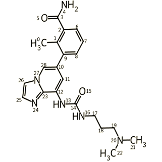 Cc1c(C(N)=O)cccc1-c1cc(NC(=O)NCCCN(C)C)c2nccn2c1